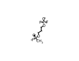 CP(=O)(F)OCCCOP(=O)(F)F